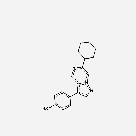 Cc1ccc(-c2cnn3cc(C4CCOCC4)ncc23)cc1